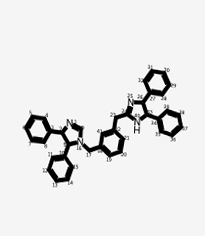 C1=NC(c2ccccc2)C(c2ccccc2)N1Cc1cccc(CC2=NC(c3ccccc3)C(c3ccccc3)N2)c1